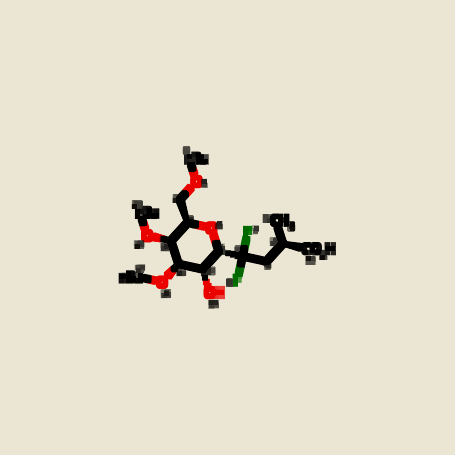 CCCCOC[C@H]1O[C@H](C(F)(F)C[C@@H](C)C(=O)O)[C@H](O)[C@@H](OCCCC)[C@H]1OCCCC